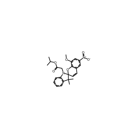 COc1cc([N+](=O)[O-])cc2c1OC1(C=C2)N(CC(=O)OC(C)C)c2ccccc2C1(C)C